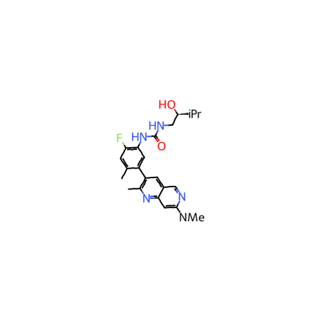 CNc1cc2nc(C)c(-c3cc(NC(=O)NC[C@@H](O)C(C)C)c(F)cc3C)cc2cn1